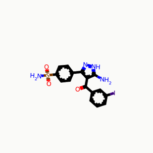 Nc1[nH]nc(-c2ccc(S(N)(=O)=O)cc2)c1C(=O)c1cccc(I)c1